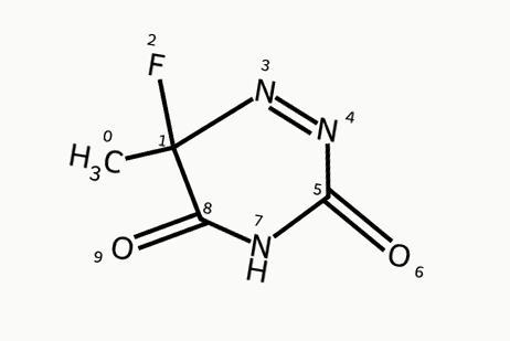 CC1(F)N=NC(=O)NC1=O